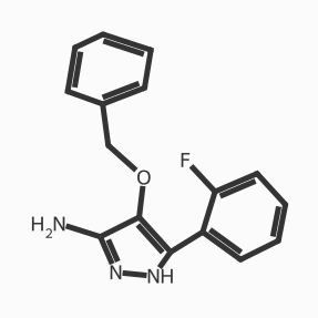 Nc1n[nH]c(-c2ccccc2F)c1OCc1ccccc1